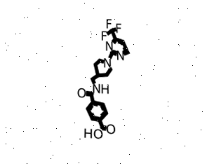 O=C(O)c1ccc(C(=O)NCC2CCN(c3nccc(C(F)(F)F)n3)CC2)cc1